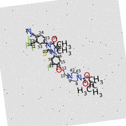 CC(C)(C)OC(=O)N1CCN(CCOc2ccc(N3C(=S)N(c4ccc(C#N)c(C(F)(F)F)c4)C(=O)C3(C)C)cc2F)CC1